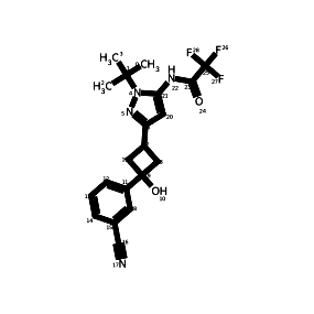 CC(C)(C)n1nc(C2CC(O)(c3cccc(C#N)c3)C2)cc1NC(=O)C(F)(F)F